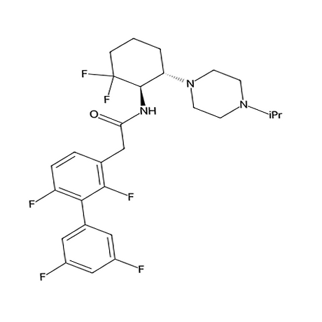 CC(C)N1CCN([C@H]2CCCC(F)(F)[C@@H]2NC(=O)Cc2ccc(F)c(-c3cc(F)cc(F)c3)c2F)CC1